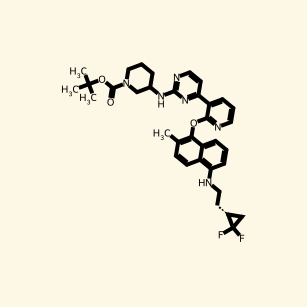 Cc1ccc2c(NCC[C@@H]3CC3(F)F)cccc2c1Oc1ncccc1-c1ccnc(NC2CCCN(C(=O)OC(C)(C)C)C2)n1